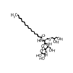 CCCCCCCCCCCCCCCC(=O)N[C@@H](CSCC(O)CO)C(=O)N[C@@H](CO)C(=O)N[C@@H](CO)C(=O)O